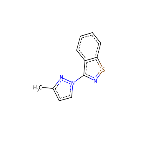 Cc1ccn(-c2nsc3ccccc23)n1